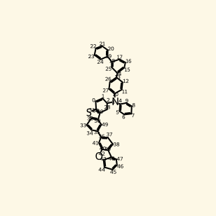 C1=CC(N(c2ccccc2)c2ccc(-c3cccc(-c4ccccc4)c3)cc2)Cc2c1sc1ccc(-c3ccc4c(c3)oc3ccccc34)cc21